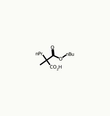 CCCCOC(=O)C(C)(CCC)C(=O)O